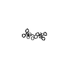 CC(C)(C)[Si](Oc1cccc2c1CCC(=O)C2CCOC(=O)N(c1ccccc1)c1ccccc1)(c1ccccc1)c1ccccc1